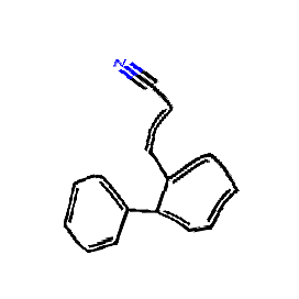 N#C/C=C/c1ccccc1-c1ccccc1